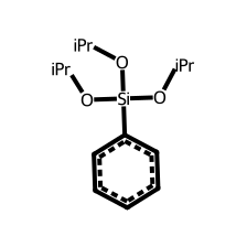 CC(C)O[Si](OC(C)C)(OC(C)C)c1ccccc1